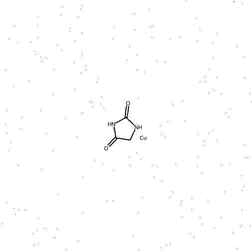 O=C1CNC(=O)N1.[Cu]